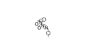 COC[C@@H]1Cc2ccccc2N1C(C=O)N1CCN(Cc2ccc(C)cc2)CC1